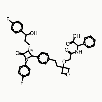 O=C(COC1(CCc2ccc(C3[C@@H](CCC(O)c4ccc(F)cc4)C(=O)N3c3ccc(F)cc3)cc2)COC1)NC(C(=O)O)c1ccccc1